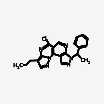 CCCc1cnn2c1nc(Cl)c1cnc3c(cnn3C(C)c3ccccc3)c12